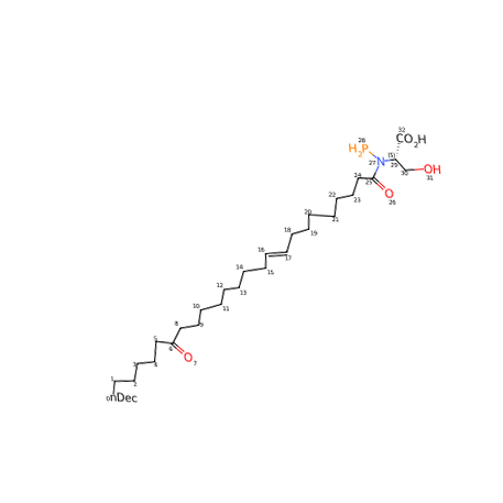 CCCCCCCCCCCCCCCC(=O)CCCCCCCCC=CCCCCCCCC(=O)N(P)[C@@H](CO)C(=O)O